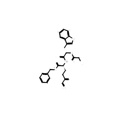 N=CC(=O)CC[C@H](NC(=O)[C@H](Cc1c[nH]c2ccccc12)NC(=O)CF)C(=O)NCc1ccccc1